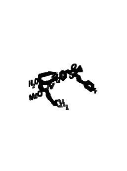 C=CC#Cc1nc2c(cc1OC)C(=C)C=CN=C2Oc1ccc(/C=C/C(=O)C2(C(=O)/C=C/c3ccc(F)cc3)CC2)cc1